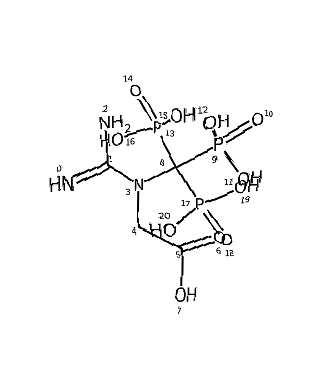 N=C(N)N(CC(=O)O)C(P(=O)(O)O)(P(=O)(O)O)P(=O)(O)O